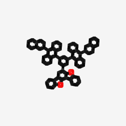 c1ccc2cc(-c3c4ccccc4c(-c4cc(-c5c6ccccc6c(-c6ccc7ccccc7c6)c6ccccc56)cc(-c5cc6c7ccccc7oc6c6c5oc5ccccc56)c4)c4ccccc34)ccc2c1